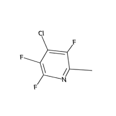 Cc1nc(F)c(F)c(Cl)c1F